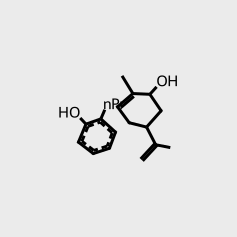 C=C(C)C1CC=C(C)C(O)C1.CCCc1ccccc1O